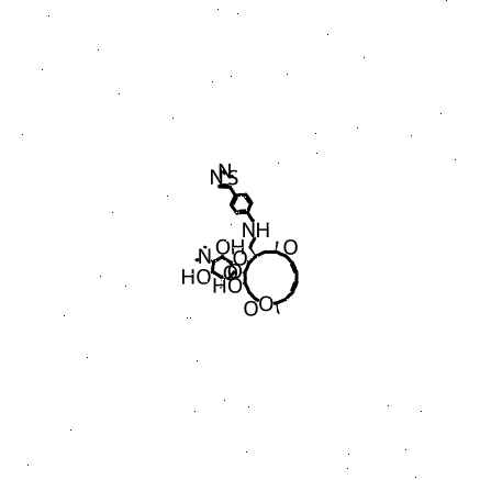 CO[C@@H]1[C@@H](O[C@@H]2O[C@H](C)[C@@H](O)[C@H](N(C)C)[C@H]2O)[C@@H](CCNCc2ccc(-c3cnns3)cc2)C[C@@H](C)C(=O)C=CC=CC[C@@H](C)OC(=O)C[C@@H]1O